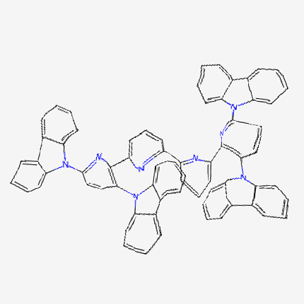 c1cc(-c2cccc(-c3nc(-n4c5ccccc5c5ccccc54)ccc3-n3c4ccccc4c4ccccc43)n2)nc(-c2nc(-n3c4ccccc4c4ccccc43)ccc2-n2c3ccccc3c3ccccc32)c1